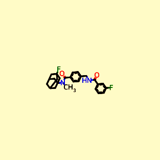 CN(C(=O)c1ccc(CNC(=O)c2cccc(F)c2)cc1)C12CC3CC(CC(F)(C3)C1)C2